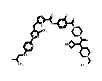 C[C@H](N)CNc1ccc(-n2cc(Cc3cnc(C(=O)Nc4ccc(C(=O)N5CCN(C(=O)C(C6CCN(CC(=O)O)CC6)C6CNC6)CC5)c(Cl)c4)[nH]3)c(C(F)(F)F)n2)nc1